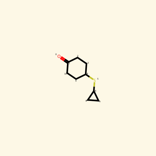 O=C1CCC(SC2CC2)CC1